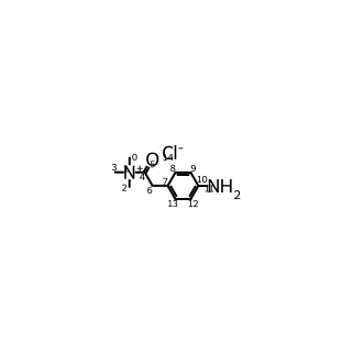 C[N+](C)(C)C(=O)Cc1ccc(N)cc1.[Cl-]